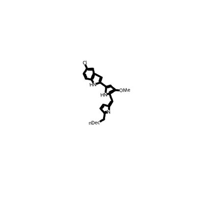 CCCCCCCCCCCC1=NC(=Cc2[nH]c(-c3cc4cc(Cl)ccc4[nH]3)cc2OC)C=C1